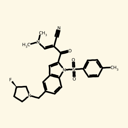 Cc1ccc(S(=O)(=O)n2c(C(=O)C(C#N)=CN(C)C)cc3cc(CN4CC[C@@H](F)C4)ccc32)cc1